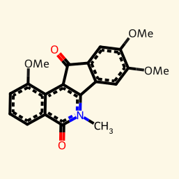 COc1cc2c(cc1OC)-c1c(c3c(OC)cccc3c(=O)n1C)C2=O